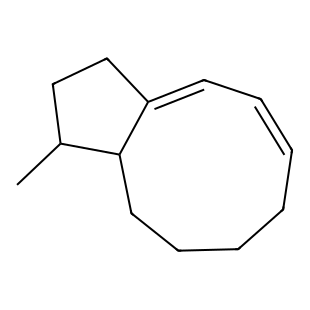 CC1CCC2=CC=CCCCCC21